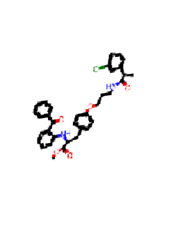 COC(=O)C(Cc1ccc(OCCCNC(=O)C(C)c2cccc(Cl)c2)cc1)Nc1ccccc1C(=O)c1ccccc1